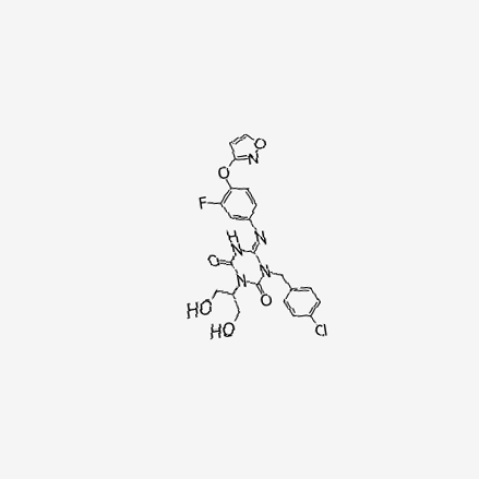 O=c1[nH]/c(=N\c2ccc(Oc3ccon3)c(F)c2)n(Cc2ccc(Cl)cc2)c(=O)n1C(CO)CO